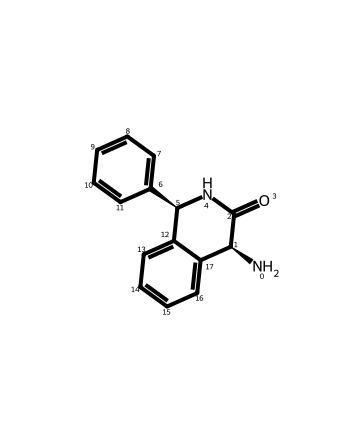 N[C@@H]1C(=O)N[C@H](c2ccccc2)c2ccccc21